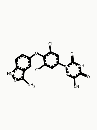 N#Cc1nn(-c2cc(Cl)c(Oc3ccc4[nH]nc(N)c4c3)c(Cl)c2)c(=O)[nH]c1=O